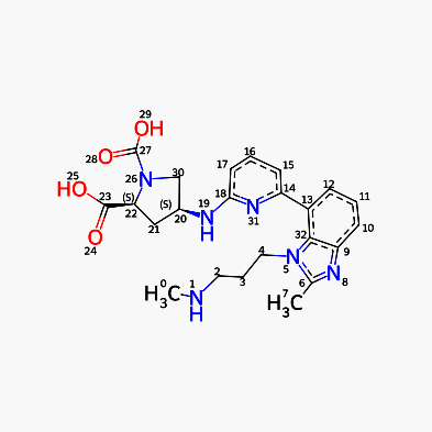 CNCCCn1c(C)nc2cccc(-c3cccc(N[C@H]4C[C@@H](C(=O)O)N(C(=O)O)C4)n3)c21